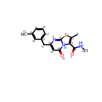 CCNC(=O)c1c(C)sc2nc(Cc3cccc(C#N)c3)cc(=O)n12